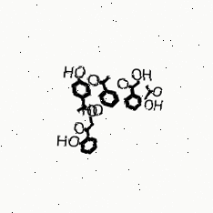 CC(=O)CO.CC(=O)c1ccc(O)cc1.CC(=O)c1cccc(O)c1.CCC(=O)c1ccccc1O.O=C(CO)c1ccccc1